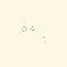 CC(C)(C)OC(=O)N1CCC(c2nc(-c3cc(SC(F)(F)F)cc(C(C)(C)C)c3)cs2)CC1